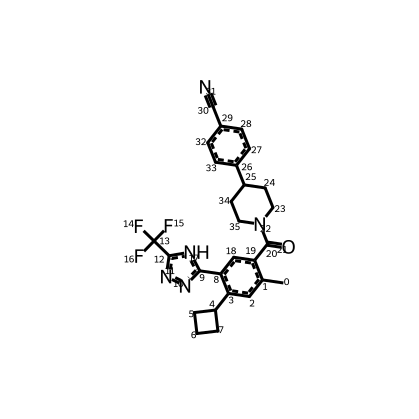 Cc1cc(C2CCC2)c(-c2nnc(C(F)(F)F)[nH]2)cc1C(=O)N1CCC(c2ccc(C#N)cc2)CC1